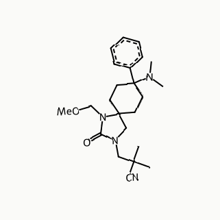 COCN1C(=O)N(CC(C)(C)C#N)CC12CCC(c1ccccc1)(N(C)C)CC2